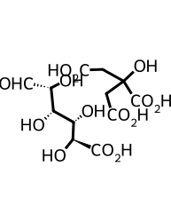 O=C(O)CC(O)(CC(=O)O)C(=O)O.O=C[C@H](O)[C@@H](O)[C@H](O)[C@H](O)C(=O)O